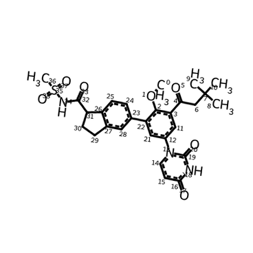 COc1c(C(=O)CC(C)(C)C)cc(-n2ccc(=O)[nH]c2=O)cc1-c1ccc2c(c1)CCC2C(=O)NS(C)(=O)=O